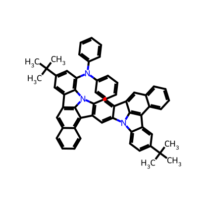 CC(C)(C)c1ccc2c(c1)c1c3ccccc3cc3c4cc5c(cc4n2c31)c1c2ccccc2cc2c3cc(C(C)(C)C)cc(N(c4ccccc4)c4ccccc4)c3n5c21